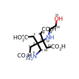 NCC(CC(=O)O)(CC(=O)O)C(CC(=O)O)(CC(=O)O)NCCO